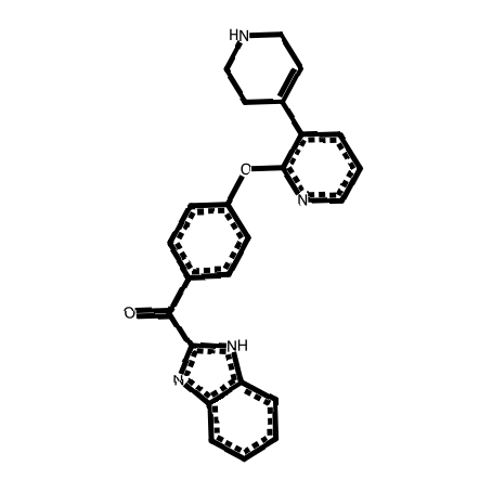 O=C(c1ccc(Oc2ncccc2C2=CCNCC2)cc1)c1nc2ccccc2[nH]1